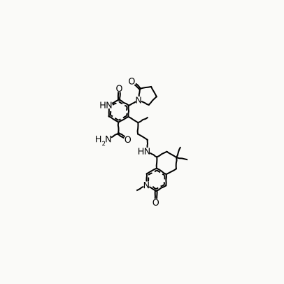 CC(CCNC1CC(C)(C)Cc2cc(=O)n(C)cc21)c1c(C(N)=O)c[nH]c(=O)c1N1CCCC1=O